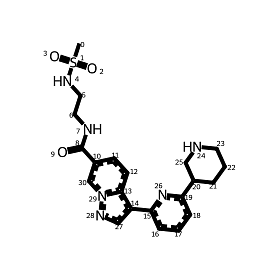 CS(=O)(=O)NCCNC(=O)c1ccc2c(-c3cccc(C4CCCNC4)n3)cnn2c1